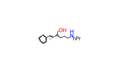 CCCNCCC[C@@H](/C=C/c1ccccc1)CO